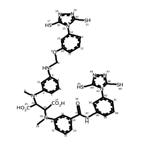 CN(c1cccc(NCOc2cccc(-n3c(S)nnc3S)c2)c1)C(C(=O)O)C(C(=O)O)N(C)c1cccc(C(=O)Nc2cccc(-n3c(S)nnc3S)c2)c1